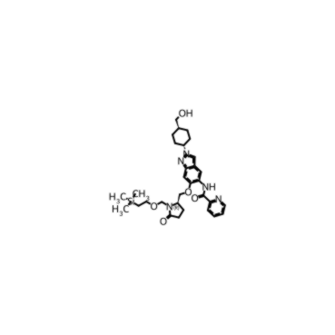 C[Si](C)(C)CCOCN1C(=O)CC[C@@H]1COc1cc2nn([C@H]3CC[C@H](CO)CC3)cc2cc1NC(=O)c1ccccn1